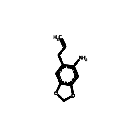 C=CCc1cc2c(cc1N)OCO2